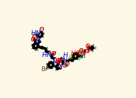 CC(C)(C)C(=O)OCOP(=O)(O)C(F)(F)c1ccc2sc(C(=O)N[C@H](C(=O)N3CCC[C@H]3C(=O)N(CCC(=O)NCCCC#Cc3cccc4c3CN(C3CCC(=O)NC3=O)C4=O)c3ccc(Br)cc3)C(C)(C)C)cc2c1